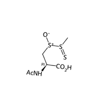 CC(=O)N[C@@H](C[S+]([O-])S(C)=S)C(=O)O